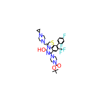 CC(C)(C)OC(=O)N1CCN(C2=NC(O)N3c4c2cc(C(F)(F)F)c(-c2ccc(F)cc2)c4SC[C@@H]3CN2CCN(C3CC3)CC2)CC1